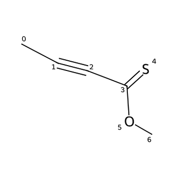 CC#CC(=S)OC